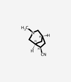 CN1C[C@@H]2C[C@H](C1)[C@H](C#N)C2